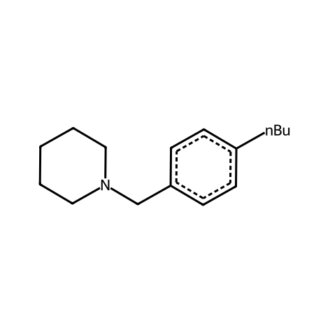 CCCCc1ccc(CN2CCCCC2)cc1